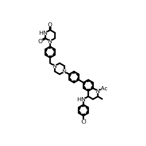 CC(=O)N1c2ccc(-c3ccc(N4CCN(Cc5ccc(N6CCC(=O)NC6=O)cc5)CC4)cc3)cc2C(Nc2ccc(Cl)cc2)CC1C